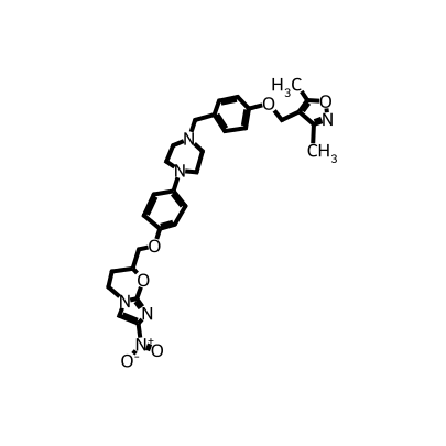 Cc1noc(C)c1COc1ccc(CN2CCN(c3ccc(OCC4CCn5cc([N+](=O)[O-])nc5O4)cc3)CC2)cc1